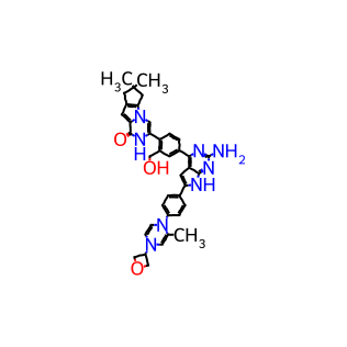 CC1=CN(C2COC2)C=CN1c1ccc(-c2cc3c(-c4ccc(-c5cn6c7c(cc6c(=O)[nH]5)CC(C)(C)C7)c(CO)c4)nc(N)nc3[nH]2)cc1